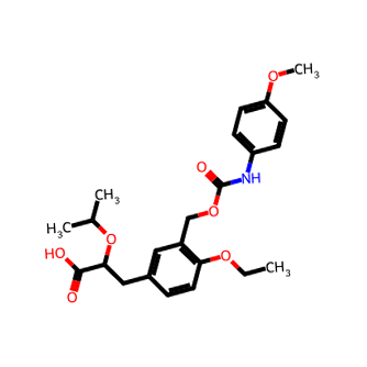 CCOc1ccc(CC(OC(C)C)C(=O)O)cc1COC(=O)Nc1ccc(OC)cc1